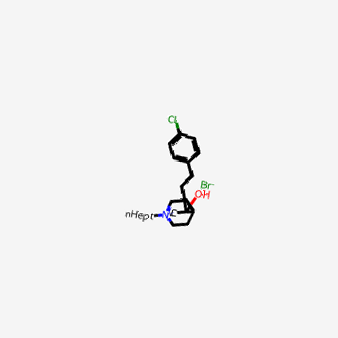 CCCCCCC[N+]12CCC(CC1)C(O)(CCc1ccc(Cl)cc1)C2.[Br-]